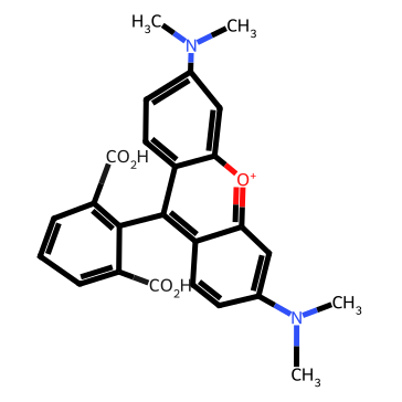 CN(C)c1ccc2c(-c3c(C(=O)O)cccc3C(=O)O)c3ccc(N(C)C)cc3[o+]c2c1